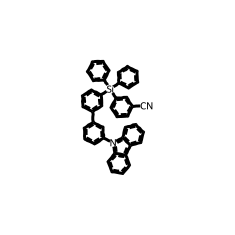 N#Cc1cccc([Si](c2ccccc2)(c2ccccc2)c2cccc(-c3cccc(-n4c5ccccc5c5ccccc54)c3)c2)c1